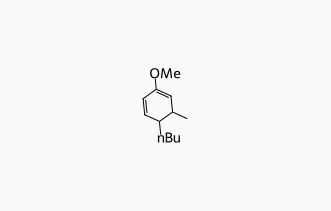 CCCCC1C=CC(OC)=CC1C